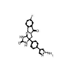 Nn1cc(-c2ccc(C3(CN4Cc5ccc(F)cc5C4=O)NC(=O)NC3=O)cc2)cn1